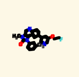 Cn1c(=O)n(-c2cccc(C(F)(F)F)c2)c2c3cc(-c4cncc(OCCF)c4)ccc3ncc21